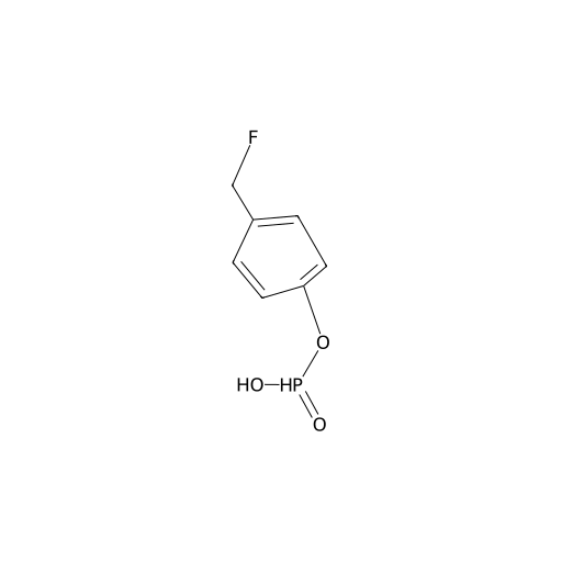 O=[PH](O)Oc1ccc(CF)cc1